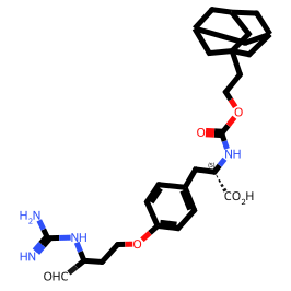 N=C(N)NC(C=O)CCOc1ccc(C[C@H](NC(=O)OCCC23CC4CC(CC(C4)C2)C3)C(=O)O)cc1